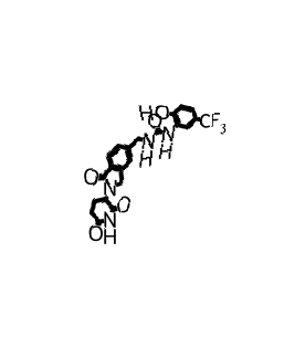 O=C1CCC(N2Cc3cc(CNC(=O)Nc4cc(C(F)(F)F)ccc4O)ccc3C2=O)C(=O)N1